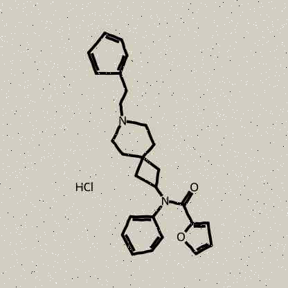 Cl.O=C(c1ccco1)N(c1ccccc1)C1CC2(CCN(CCc3ccccc3)CC2)C1